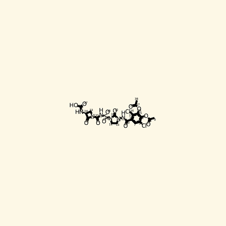 CC(=O)Oc1c(Cl)cc(C(=O)NN2CCN(S(=O)(=O)NC(=O)N3C[C@H](NC(=O)O)C3=O)C2=O)c(Cl)c1OC(C)=O